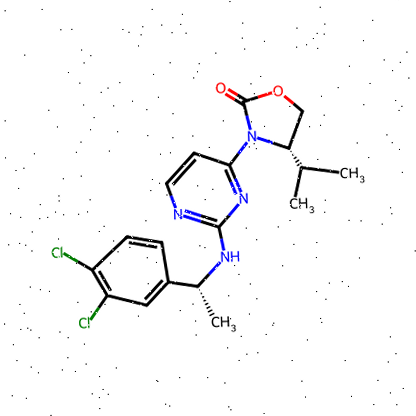 CC(C)[C@H]1COC(=O)N1c1ccnc(N[C@H](C)c2ccc(Cl)c(Cl)c2)n1